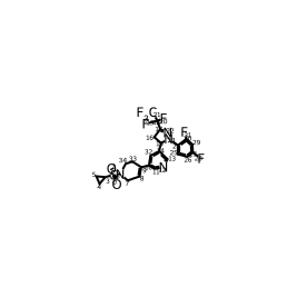 O=S(=O)(C1CC1)N1CC=C(c2cncc(C3CC(C(F)(F)C(F)(F)F)=NN3c3ccc(F)cc3F)c2)CC1